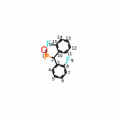 O=PC(c1ccccc1F)c1ccccc1F